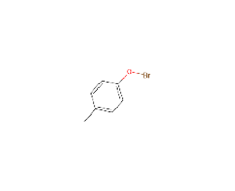 Cc1ccc(OBr)cc1